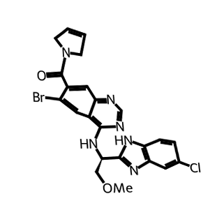 COC[C@@H](Nc1ncnc2cc(C(=O)N3CC=CC3)c(Br)cc12)c1nc2cc(Cl)ccc2[nH]1